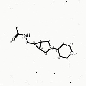 CC(=O)NCC1C2CN(C3CCOCC3)CC12